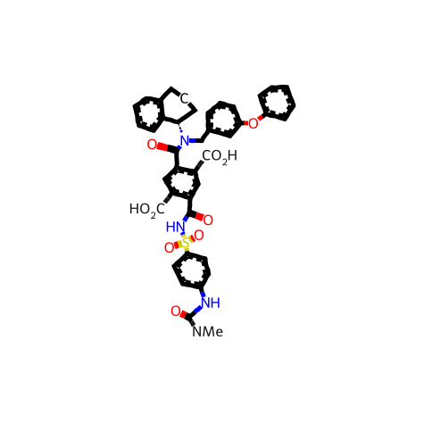 CNC(=O)Nc1ccc(S(=O)(=O)NC(=O)c2cc(C(=O)O)c(C(=O)N(Cc3cccc(Oc4ccccc4)c3)[C@H]3CCCc4ccccc43)cc2C(=O)O)cc1